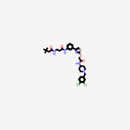 CC(C)(C)CC(=O)NCCC(=O)Nc1cccc(-c2csc(SCC(=O)NC3CCN(Cc4ccc(Cl)c(Cl)c4)CC3)n2)c1